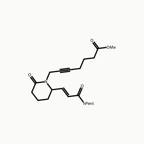 CCCCCC(=O)C=CC1CCCC(=O)N1CC#CCCCC(=O)OC